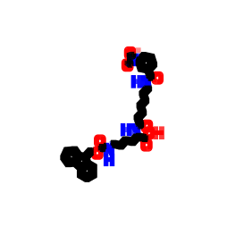 O=C(CCCCCCNC(=O)c1cccc([N+](=O)[O-])c1)NC(CCCCNC(=O)OCC1c2ccccc2-c2ccccc21)C(=O)O